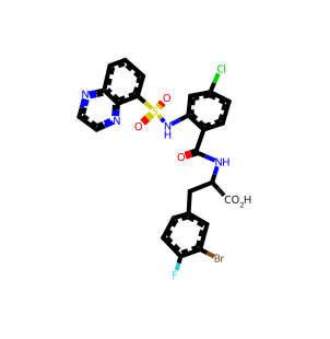 O=C(NC(Cc1ccc(F)c(Br)c1)C(=O)O)c1ccc(Cl)cc1NS(=O)(=O)c1cccc2nccnc12